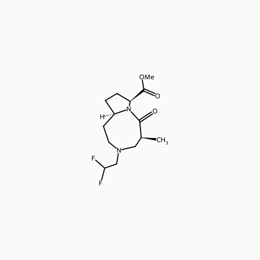 COC(=O)[C@@H]1CC[C@@H]2CCN(CC(F)F)C[C@H](C)C(=O)N21